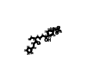 CCN(CCCC(O)c1ccc(NS(C)(=O)=O)cc1)C(=O)CCC1CCCC1